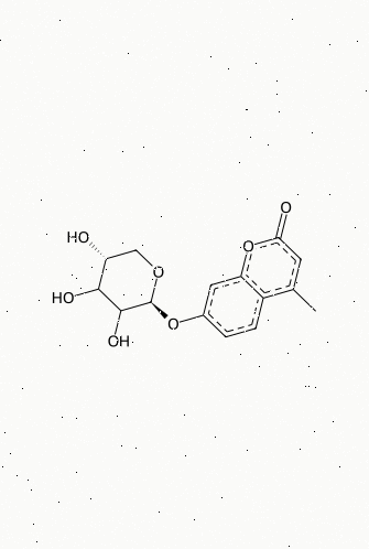 Cc1cc(=O)oc2cc(O[C@@H]3OC[C@@H](O)C(O)C3O)ccc12